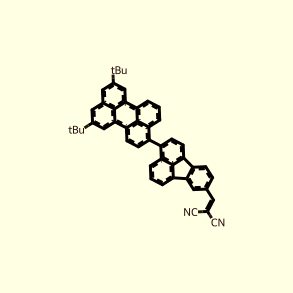 CC(C)(C)c1cc2cc(C(C)(C)C)cc3c4ccc(-c5ccc6c7c(cccc57)-c5cc(C=C(C#N)C#N)ccc5-6)c5cccc(c(c1)c23)c54